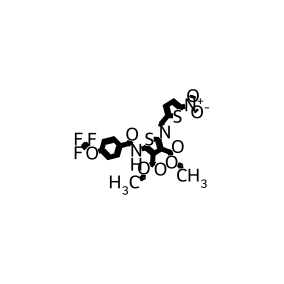 CCOC(=O)c1c(N=Cc2ccc([N+](=O)[O-])s2)sc(NC(=O)c2ccc(OC(F)(F)F)cc2)c1C(=O)OCC